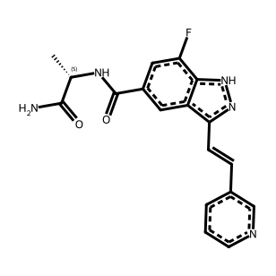 C[C@H](NC(=O)c1cc(F)c2[nH]nc(C=Cc3cccnc3)c2c1)C(N)=O